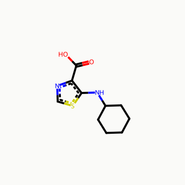 O=C(O)c1ncsc1NC1CCCCC1